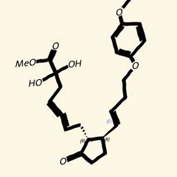 CCCCCCOc1ccc(OCC/C=C/[C@H]2CCC(=O)[C@@H]2CC=C=CCC(O)(O)C(=O)OC)cc1